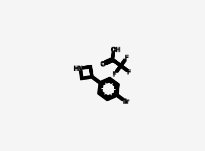 Brc1ccc(C2CNC2)cc1.O=C(O)C(F)(F)F